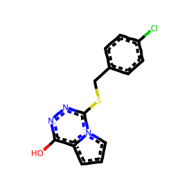 Oc1nnc(SCc2ccc(Cl)cc2)n2cccc12